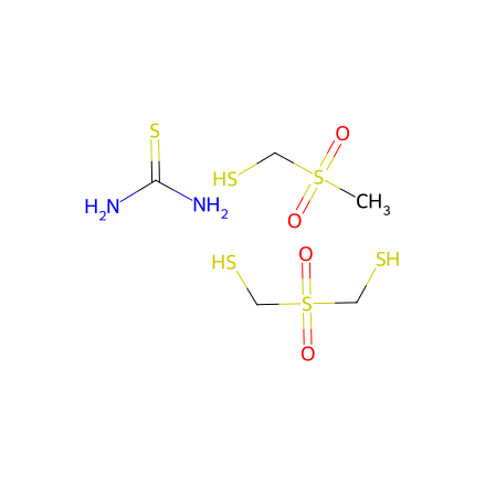 CS(=O)(=O)CS.NC(N)=S.O=S(=O)(CS)CS